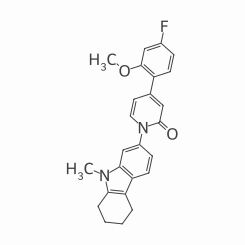 COc1cc(F)ccc1-c1ccn(-c2ccc3c4c(n(C)c3c2)CCCC4)c(=O)c1